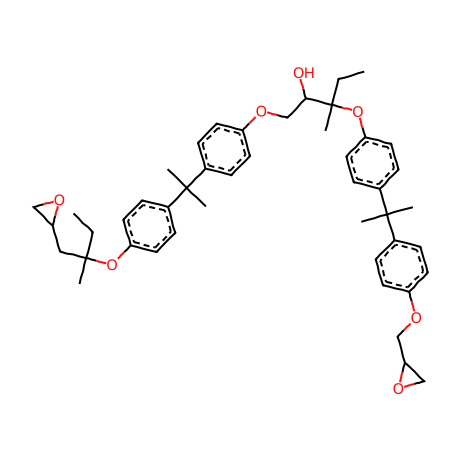 CCC(C)(CC1CO1)Oc1ccc(C(C)(C)c2ccc(OCC(O)C(C)(CC)Oc3ccc(C(C)(C)c4ccc(OCC5CO5)cc4)cc3)cc2)cc1